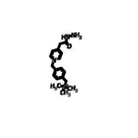 C[N+](C)(C)Cc1ccc(C[n+]2ccc(CC(=O)NN)cc2)cc1